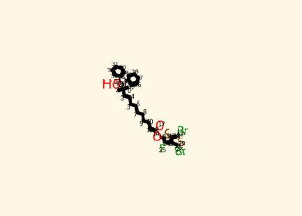 CC(C)(CCCCCCCCCC(=O)Oc1sc2c(Br)sc(Br)c2c1F)[Si](O)(c1ccccc1)c1ccccc1